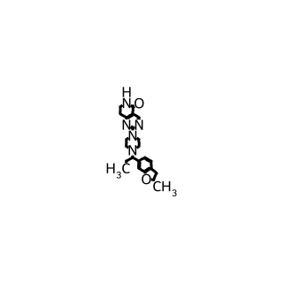 CCC(c1ccc2c(c1)O[C@H](C)C2)N1CCN(c2ncc3c(n2)CCNC3=O)CC1